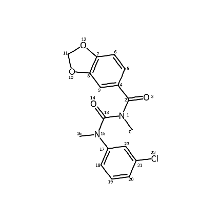 CN(C(=O)c1ccc2c(c1)OCO2)C(=O)N(C)c1cccc(Cl)c1